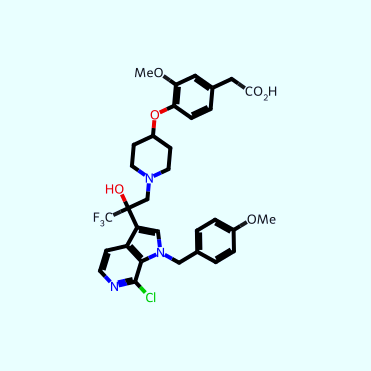 COc1ccc(Cn2cc(C(O)(CN3CCC(Oc4ccc(CC(=O)O)cc4OC)CC3)C(F)(F)F)c3ccnc(Cl)c32)cc1